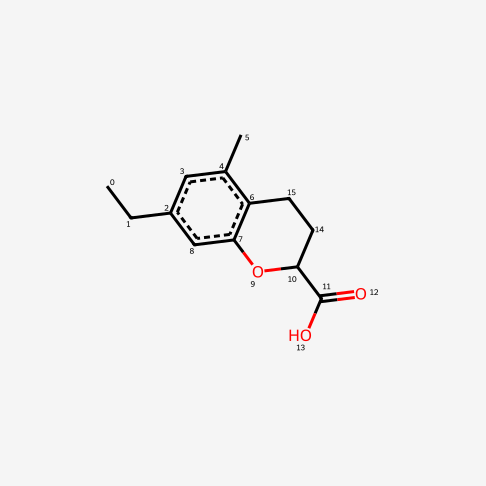 CCc1cc(C)c2c(c1)OC(C(=O)O)CC2